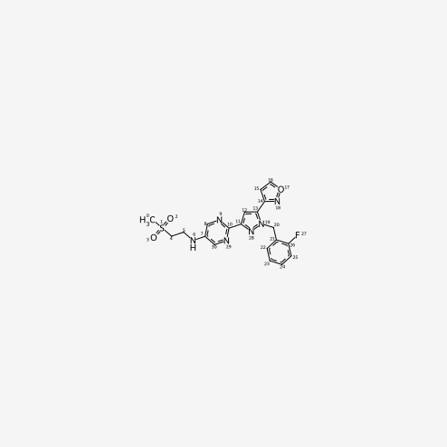 CS(=O)(=O)CCNc1cnc(-c2cc(-c3ccon3)n(Cc3ccccc3F)n2)nc1